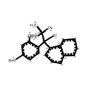 CCC(c1ccc(OC)cc1OC)(c1cccc2ccccc12)C(C)(C#N)C(=O)O